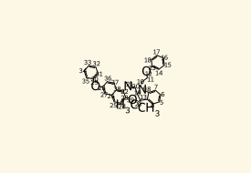 CC1(C)c2ccccc2N(CCOc2ccccc2)C12C=Nc1c(ccc3cc(Oc4ccccc4)ccc13)O2